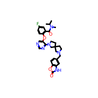 CC(C)N(C)C(=O)c1cc(F)ccc1Oc1cncnc1N1CCC2(CCN(Cc3ccc4oc(=O)[nH]c4c3)C2)C1